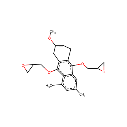 COC1=CCc2c(c(OCC3CO3)c3c(C)cc(C)cc3c2OCC2CO2)C1